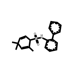 CC1=CC(C)(C)C=CC1S(=O)(=O)Nc1ccccc1-c1ccccc1